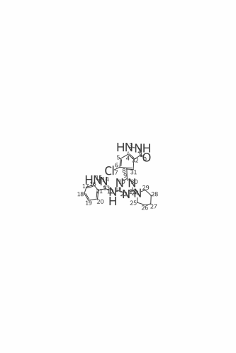 O=c1[nH][nH]c2cc(Cl)c(-c3nc(Nc4n[nH]c5ccccc45)nc(N4CCCCC4)n3)cc12